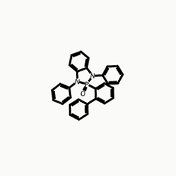 O=P1(c2ccccc2-c2ccccc2)N(c2ccccc2)c2ccccc2N1c1ccccc1